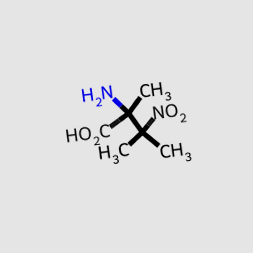 CC(N)(C(=O)O)C(C)(C)[N+](=O)[O-]